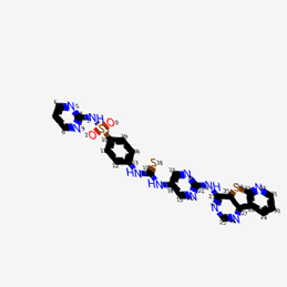 O=S(=O)(Nc1ncccn1)c1ccc(NC(=S)Nc2cnc(NC3=NC=NC4c5cccnc5SC34)nc2)cc1